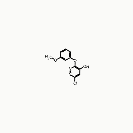 COc1cccc(Oc2nnc(Cl)cc2O)c1